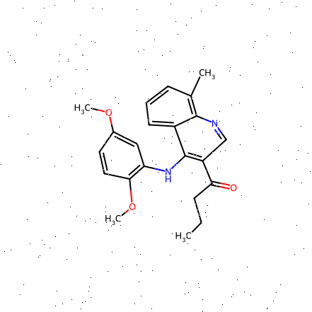 CCCC(=O)c1cnc2c(C)cccc2c1Nc1cc(OC)ccc1OC